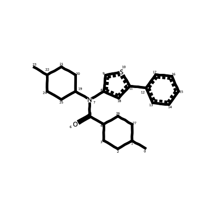 CC1CCC(C(=O)N(c2csc(-c3ccccc3)c2)C2CCC(C)CC2)CC1